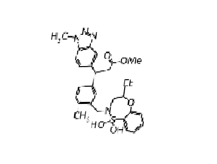 CCC1CN(Cc2cc(C(CC(=O)OC)c3ccc4c(c3)nnn4C)ccc2C)S(O)(O)c2ccccc2O1